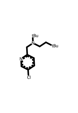 CC(C)(C)CCN(Cc1ccc(Cl)cn1)C(C)(C)C